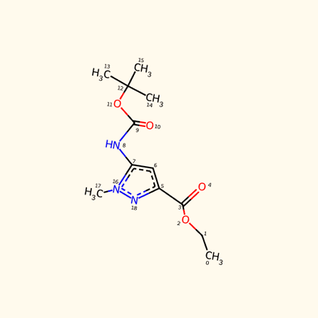 CCOC(=O)c1cc(NC(=O)OC(C)(C)C)n(C)n1